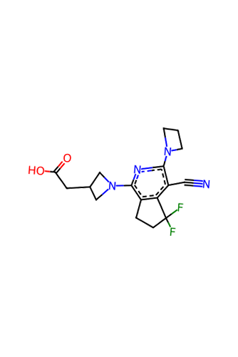 N#Cc1c(N2CCC2)nc(N2CC(CC(=O)O)C2)c2c1C(F)(F)CC2